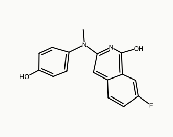 CN(c1ccc(O)cc1)c1cc2ccc(F)cc2c(O)n1